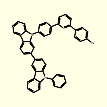 Brc1ccc(-c2cccc(-c3ccc(-n4c5ccccc5c5ccc(-c6ccc7c(c6)c6ccccc6n7-c6ccccc6)cc54)cc3)n2)cc1